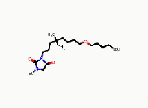 CCN1CC(=O)N(CCCC(C)(C)CCCCOCCCCC(C)(C)C)C1=O